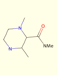 CNC(=O)C1C(C)[N]CCN1C